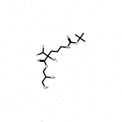 CC(C)(C)OC(=O)NCCCC(N)(C(=O)OCC(O)CO)C(F)F